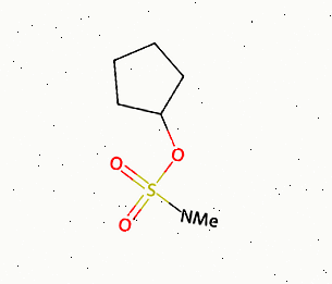 CNS(=O)(=O)OC1CCCC1